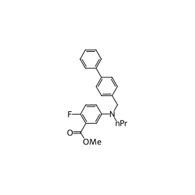 CCCN(Cc1ccc(-c2ccccc2)cc1)c1ccc(F)c(C(=O)OC)c1